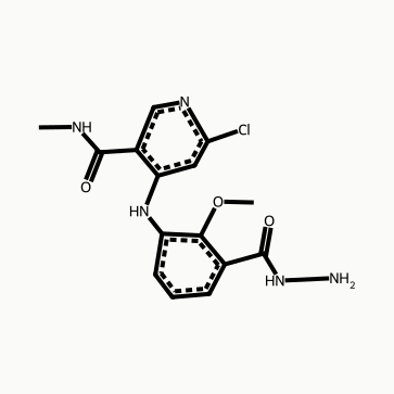 CNC(=O)c1cnc(Cl)cc1Nc1cccc(C(=O)NN)c1OC